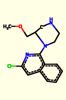 COCC1CNCCN1c1nc(Cl)cc2ccccc12